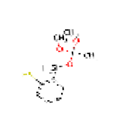 COC(C)(OC)O[SiH2]c1ccccc1S